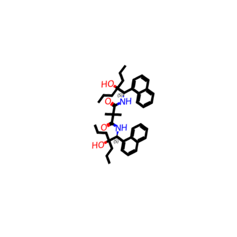 CCCC(O)(CCC)[C@@H](NC(=O)C(C)(C)C(=O)N[C@@H](c1cccc2ccccc12)C(O)(CCC)CCC)c1cccc2ccccc12